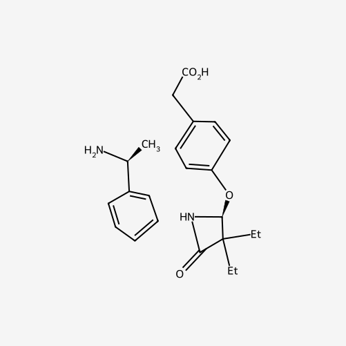 CCC1(CC)C(=O)N[C@H]1Oc1ccc(CC(=O)O)cc1.C[C@H](N)c1ccccc1